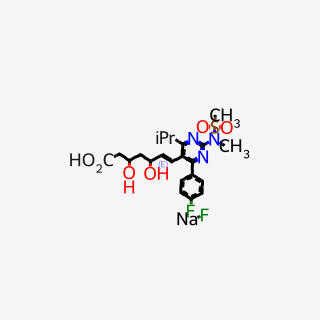 CC(C)c1nc(N(C)S(C)(=O)=O)nc(-c2ccc(F)cc2)c1/C=C/C(O)CC(O)CC(=O)O.[F][Na]